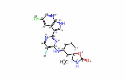 C[C@H]1NC(=O)O[C@@]12CCC[C@H](Nc1nc(-c3c[nH]c4ncc(Cl)cc34)ncc1F)C2